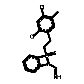 Cc1cc(CCP2(=S)c3ccccc3N2C=N)c(Cl)cc1Cl